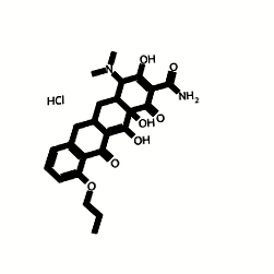 CCCOc1cccc2c1C(=O)C1=C(O)C3(O)C(=O)C(C(N)=O)=C(O)C(N(C)C)C3CC1C2.Cl